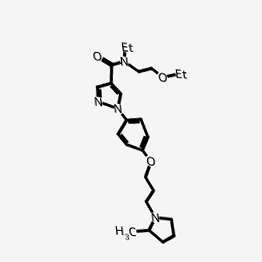 CCOCCN(CC)C(=O)c1cnn(-c2ccc(OCCCN3CCCC3C)cc2)c1